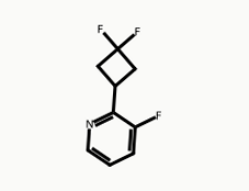 Fc1cccnc1C1CC(F)(F)C1